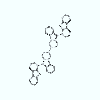 c1ccc2c(c1)sc1c(-n3c4ccccc4c4cc(-c5ccc6c(c5)c5ccccc5n6-c5cccc6c5sc5ccccc56)ccc43)cccc12